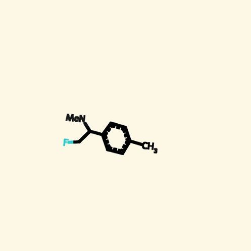 CNC(CF)c1ccc(C)cc1